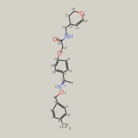 C/C(=N\OCc1ccc(C(F)(F)F)cc1)c1ccc(OCC(=O)NCC2C=COCC2)cc1